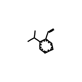 C=Cc1ccccc1C(C)C